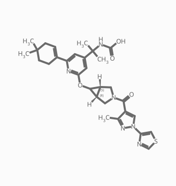 Cc1nn(-c2cscn2)cc1C(=O)N1C[C@@H]2C(Oc3cc(C(C)(C)NC(=O)O)cc(C4=CCC(C)(C)CC4)n3)[C@@H]2C1